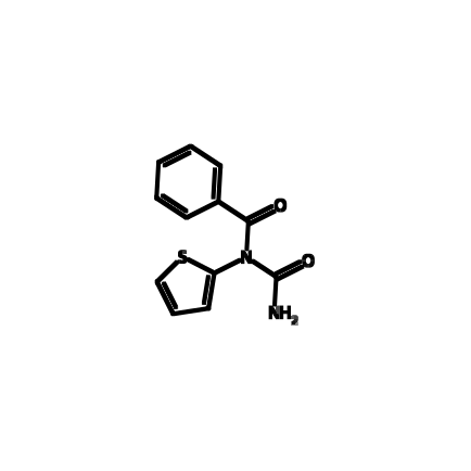 NC(=O)N(C(=O)c1ccccc1)c1cccs1